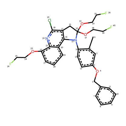 Cc1cc(OCc2ccccc2)ccc1N1c2c(c(Cl)nc3c(OCCF)cccc23)CC1(OCCF)OCCF